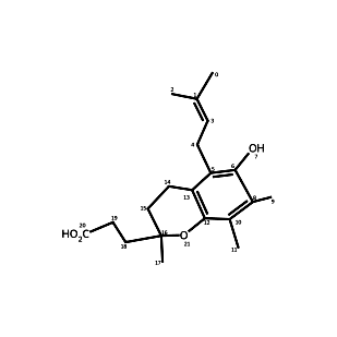 CC(C)=CCc1c(O)c(C)c(C)c2c1CCC(C)(CCC(=O)O)O2